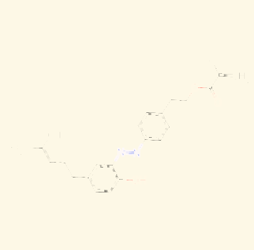 C=C(C)C(=O)OCCc1ccc(N=Nc2cc(CCC=C(C)C(=O)O)ccc2O)cc1